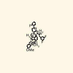 COc1ccc(CN(c2nn(C)c3c(-n4c([C@@H](N)Cc5cc(F)cc(F)c5)nc5nc(-c6ccccc6F)ccc5c4=O)ccc(Cl)c23)S(C)(=O)=O)cc1